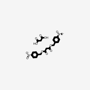 O=C(CC(=O)OCc1ccc([N+](=O)[O-])cc1)OCc1ccc([N+](=O)[O-])cc1.O=C(O)CC(=O)O